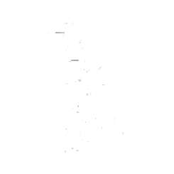 O=C(O)CCN1/C(=C\C=C2\SC(=S)N(c3ccc(C(=O)O)cc3)C2=O)Sc2ccccc21